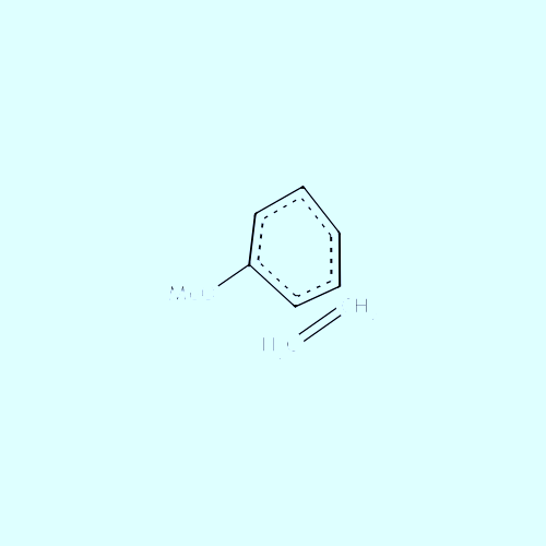 C=C.COc1ccccc1